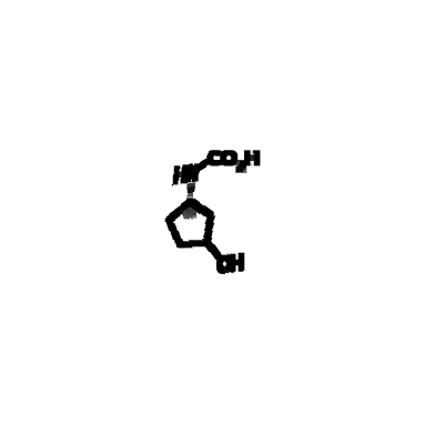 O=C(O)N[C@H]1CCC(O)C1